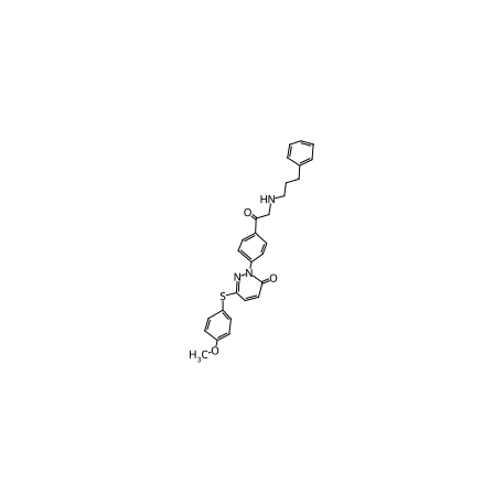 COc1ccc(Sc2ccc(=O)n(-c3ccc(C(=O)CNCCCc4ccccc4)cc3)n2)cc1